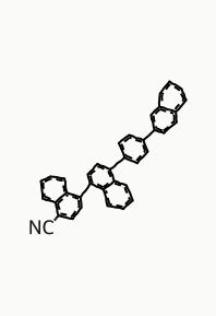 N#Cc1ccc(-c2ccc(-c3ccc(-c4ccc5ccccc5c4)cc3)c3ccccc23)c2ccccc12